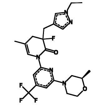 CCn1cc(CC2(F)CC(C)=CN(c3cc(C(F)(F)F)cc(N4CCO[C@H](C)C4)n3)C2=O)cn1